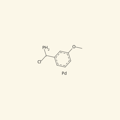 COc1cccc([C](P)Cl)c1.[Pd]